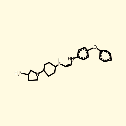 NC1CCN(C2CCC(N/C=C\Nc3ccc(Oc4ccccc4)cc3)CC2)C1